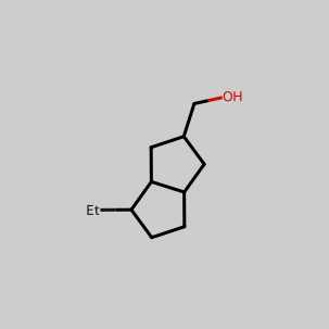 CCC1CCC2CC(CO)CC12